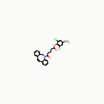 Cc1cc(Cl)c(OC(=O)CCCC(=O)N2Cc3ccccc3C#Cc3ccccc32)c(Cl)c1